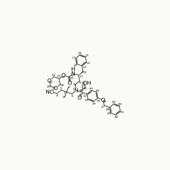 CC(C)(CCC#N)CN(C[C@@H](O)[C@H](Cc1ccccc1)NC(=O)OC1COCOC1)S(=O)(=O)c1ccc(OCc2ccccc2)cc1